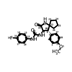 COc1ccc([C@@H]2[C@@H](NC(=O)Nc3ccc(F)cc3)C(=O)NC23CCCC3)cc1